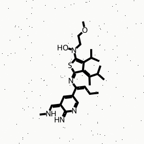 CC/C=C(/N=C1/SC(N(O)CCOC)=C(C(C)C)/C1=C(/C)C(C)C)C1=C/C(=C/NC)C(=N)N=C1